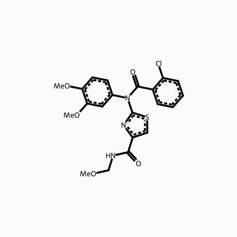 COCNC(=O)c1csc(N(C(=O)c2ccccc2Cl)c2ccc(OC)c(OC)c2)n1